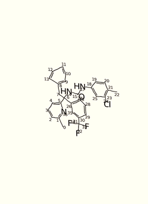 Cc1cccc(C(Cc2ccccc2)(NC(=O)Nc2ccc(C)c(Cl)c2)c2cccc(C(F)(F)F)c2)n1